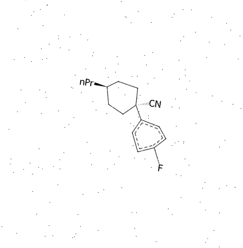 CCC[C@H]1CC[C@@](C#N)(c2ccc(F)cc2)CC1